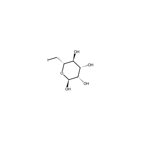 O[C@@H]1[C@H](O)[C@@H](O)O[C@H](CI)[C@H]1O